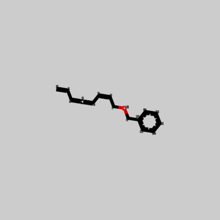 C=CC=C=C/C=C\COCc1ccccc1